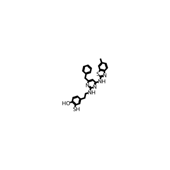 Cc1ccc2nc(Nc3cc(Cc4ccccc4)nc(NCCc4ccc(O)c(S)c4)n3)sc2c1